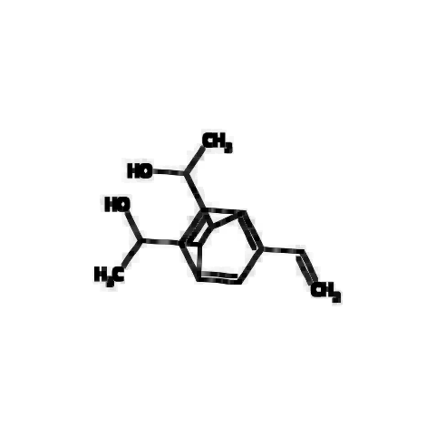 C=Cc1cc2ccc1C(C(C)O)C2C(C)O